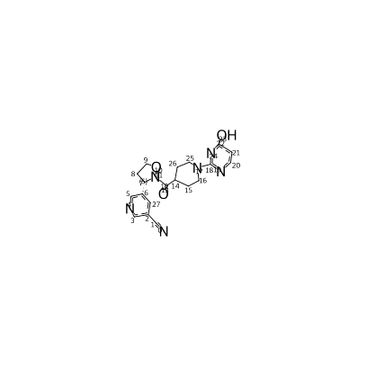 N#Cc1cncc([C@@H]2CCON2C(=O)C2CCN(c3nccc(O)n3)CC2)c1